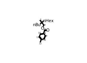 CCCCCCC(C)(CCCC)COC(=O)c1ccc(C)cc1